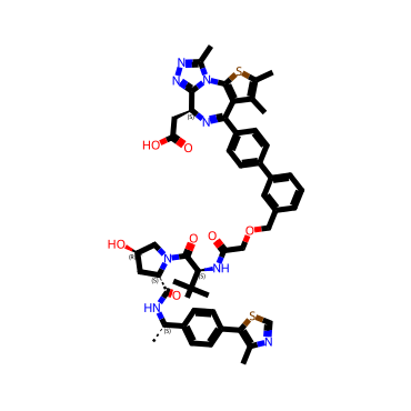 Cc1ncsc1-c1ccc([C@H](C)NC(=O)[C@@H]2C[C@@H](O)CN2C(=O)[C@@H](NC(=O)COCc2cccc(-c3ccc(C4=N[C@@H](CC(=O)O)c5nnc(C)n5-c5sc(C)c(C)c54)cc3)c2)C(C)(C)C)cc1